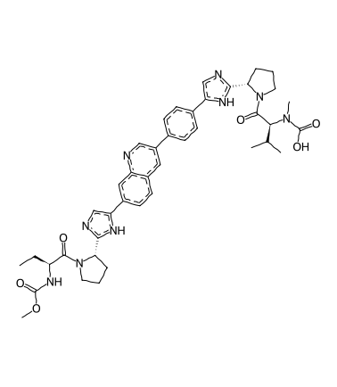 CC[C@H](NC(=O)OC)C(=O)N1CCC[C@H]1c1ncc(-c2ccc3cc(-c4ccc(-c5cnc([C@@H]6CCCN6C(=O)[C@H](C(C)C)N(C)C(=O)O)[nH]5)cc4)cnc3c2)[nH]1